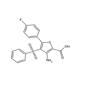 Nc1c(C(=O)O)sc(-c2ccc(F)cc2)c1S(=O)(=O)c1ccccc1